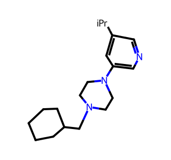 CC(C)c1cncc(N2CCN(CC3CCCCC3)CC2)c1